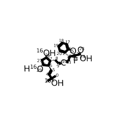 CC(C)([16OH])C=C[C@@H]1[C@@H](CC=C=CCC(F)(Oc2ccccc2)C(=O)O)[C@@H]([16OH])C[C@H]1[16OH]